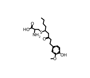 CCCCC(CC(=O)CCc1ccc(O)c(OC)c1)SCC(N)C(=O)O